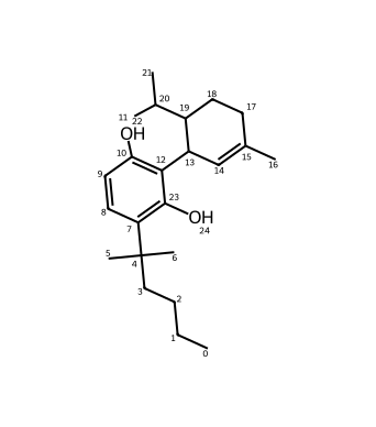 CCCCC(C)(C)c1ccc(O)c(C2C=C(C)CCC2C(C)C)c1O